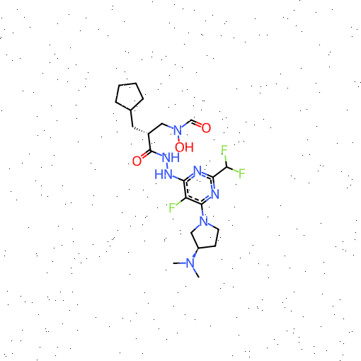 CN(C)[C@@H]1CCN(c2nc(C(F)F)nc(NNC(=O)[C@H](CC3CCCC3)CN(O)C=O)c2F)C1